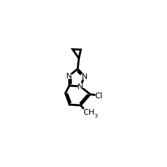 Cc1ccc2nc(C3CC3)nn2c1Cl